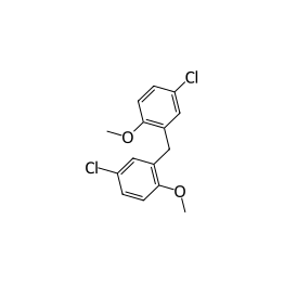 COc1ccc(Cl)cc1Cc1cc(Cl)ccc1OC